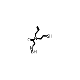 B=NCC(=O)N(CC=C)CCS